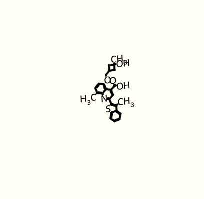 Cc1c(-c2cc(C(=O)O)c3c(OCC4CC(C)(O)C4)ccc(C)c3n2)sc2ccccc12